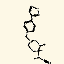 CC(C#N)C1(C)CCN(Cc2ccc(-c3ccoc3)cc2)CC1F